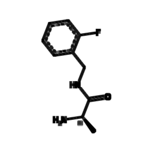 C[C@@H](N)C(=O)NCc1ccccc1F